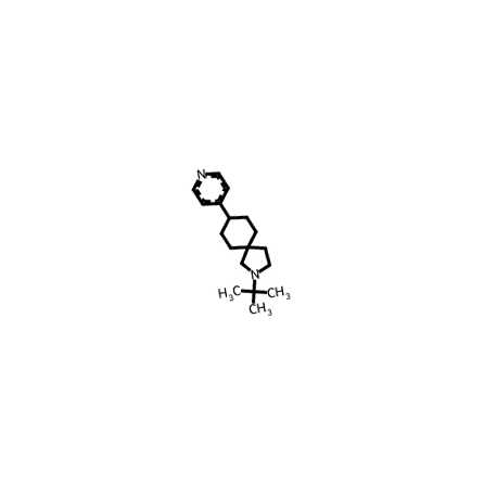 CC(C)(C)N1CCC2(CCC(c3ccncc3)CC2)C1